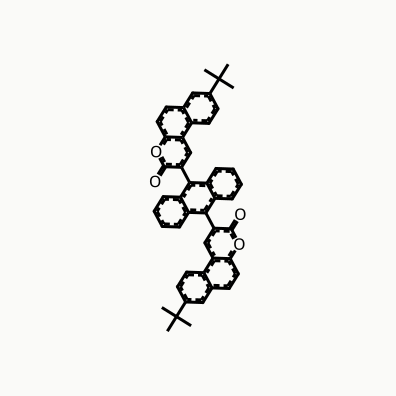 CC(C)(C)c1ccc2c(ccc3oc(=O)c(-c4c5ccccc5c(-c5cc6c(ccc7cc(C(C)(C)C)ccc76)oc5=O)c5ccccc45)cc32)c1